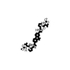 COC(=O)NC(C(=O)N1CCCC1c1ncc(-c2ccc3c(c2)C(C)(C)c2cc(-c4cnc(C5CCCN5C(=O)C(NC(=O)OC)C(C)C)[nH]4)ccc2-3)[nH]1)C(C)C